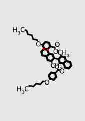 CCCCCCOc1ccc(C(=O)Oc2c(-c3c(C)cc4ccccc4c3OC(=O)c3ccc(OCCCCCC)cc3)c(C)cc3ccccc23)cc1